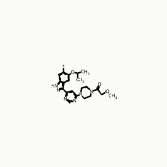 COCC(=O)N1CCN(c2cc(-c3n[nH]c4cc(F)c(OC(C)C)cc34)ncn2)CC1